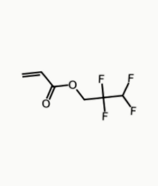 C=CC(=O)OCC(F)(F)C(F)F